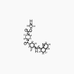 Cc1cc(C(=O)N2CCN(C(=O)OC3CNC3)CC2)ccc1NSc1cccc2cccnc12